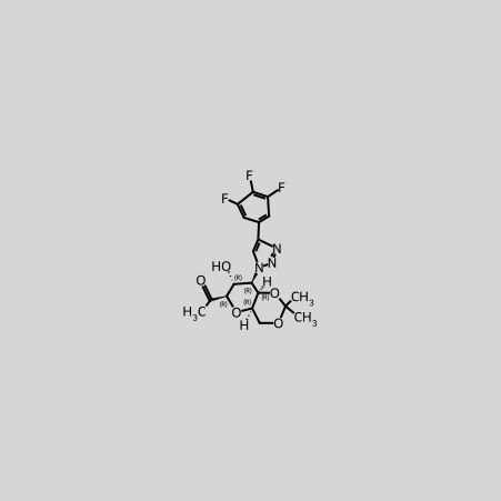 CC(=O)[C@@H]1O[C@@H]2COC(C)(C)O[C@@H]2[C@H](n2cc(-c3cc(F)c(F)c(F)c3)nn2)[C@H]1O